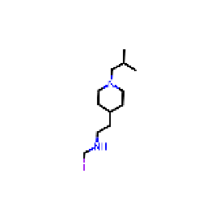 CC(C)CN1CCC(CCNCI)CC1